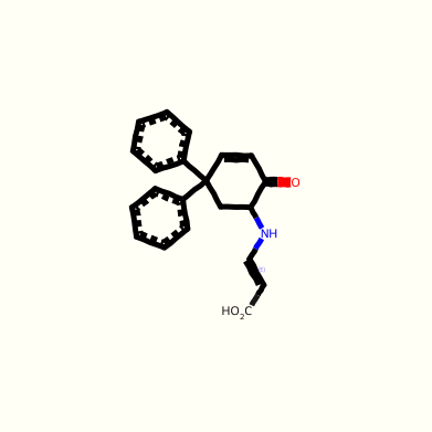 O=C(O)/C=C/NC1CC(c2ccccc2)(c2ccccc2)C=CC1=O